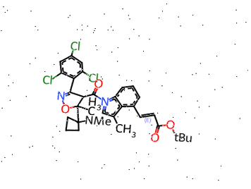 CNC1(C2(C)ON=C(c3c(Cl)cc(Cl)cc3Cl)C2C(=O)n2cc(C)c3c(/C=C/C(=O)OC(C)(C)C)cccc32)CCC1